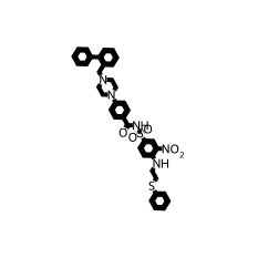 O=C(NS(=O)(=O)c1ccc(NCCSc2ccccc2)c([N+](=O)[O-])c1)c1ccc(N2CCN(Cc3ccccc3-c3ccccc3)CC2)cc1